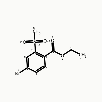 CCOC(=O)c1ccc(Br)cc1S(C)(=O)=O